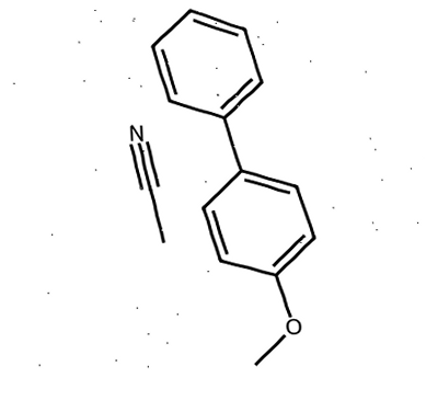 CC#N.COc1ccc(-c2ccccc2)cc1